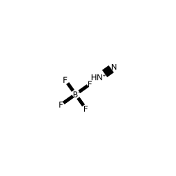 F[B-](F)(F)F.N#[NH+]